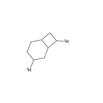 [2H]C1CCC2CC([2H])C2C1